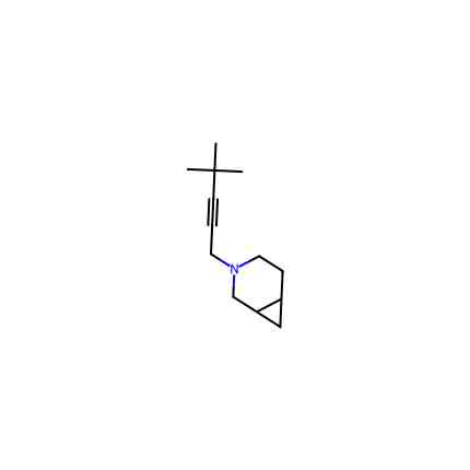 CC(C)(C)C#CCN1CCC2CC2C1